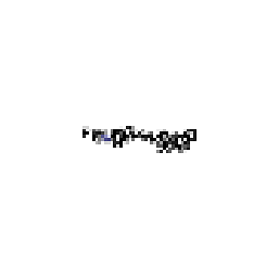 CCO/N=C/c1ccc(OCCCCCN2CCN(c3ccnc(Cl)c3)S2(=O)=O)cn1